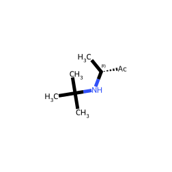 CC(=O)[C@@H](C)NC(C)(C)C